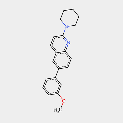 COc1cccc(-c2ccc3nc(N4CCCCC4)ccc3c2)c1